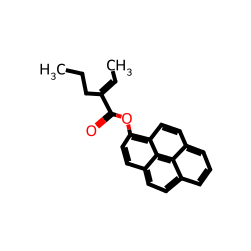 CC=C(CCC)C(=O)Oc1ccc2ccc3cccc4ccc1c2c34